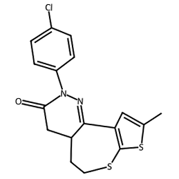 Cc1cc2c(s1)SCCC1CC(=O)N(c3ccc(Cl)cc3)N=C21